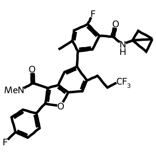 CNC(=O)c1c(-c2ccc(F)cc2)oc2cc(CCC(F)(F)F)c(-c3cc(C(=O)NC45CC4C5)c(F)cc3C)cc12